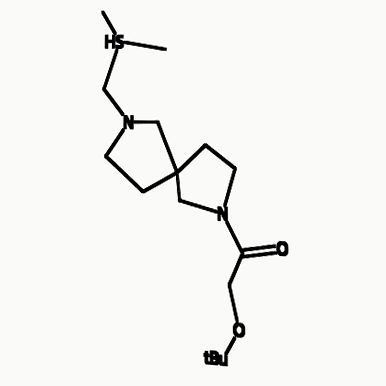 C[SH](C)CN1CCC2(CCN(C(=O)COC(C)(C)C)C2)C1